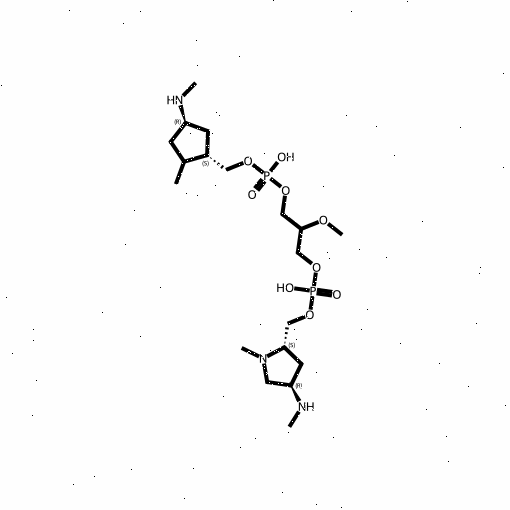 CN[C@@H]1CC(C)[C@@H](COP(=O)(O)OCC(COP(=O)(O)OC[C@@H]2C[C@@H](NC)CN2C)OC)C1